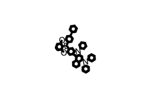 c1cc2c3c(c#1)Oc1cc4c5c6ccccc6c(N(c6ccccc6)c6ccccc6)cc5n(-c5ccccc5)c4cc1B3c1ccc(-c3ccccc3)cc1O2